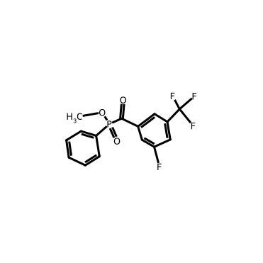 COP(=O)(C(=O)c1cc(F)cc(C(F)(F)F)c1)c1ccccc1